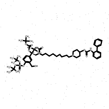 CC(C)(C)OC(=O)O[C@@](CN(CCCCCCCCCN1CCC(OC(=O)Nc2ccccc2-c2ccccc2)CC1)C(=O)O)(c1ccc(OP(=O)(OC(C)(C)C)OC(C)(C)C)c(CO)c1)C(C)(C)C